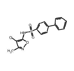 Cc1noc(NS(=O)(=O)c2ccc(-c3ccccc3)cc2)c1Cl